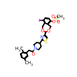 Cc1ccc(C)c(CC(=O)N2CCC(c3nc(C4OCc5c(I)ccc(OS(C)(=O)=O)c5CO4)cs3)CC2)c1